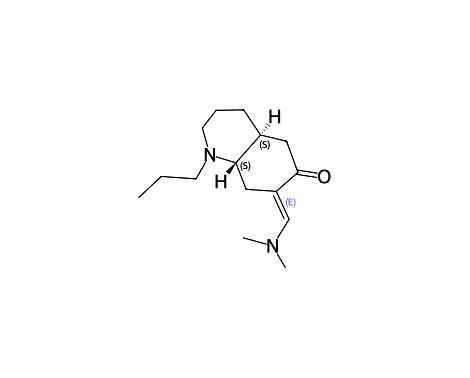 CCCN1CCC[C@H]2CC(=O)/C(=C/N(C)C)C[C@@H]21